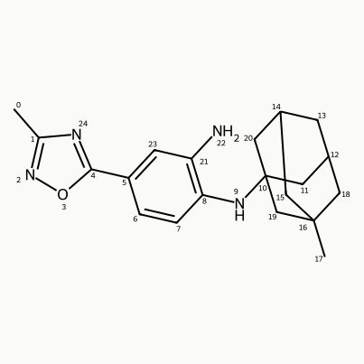 Cc1noc(-c2ccc(NC34CC5CC(CC(C)(C5)C3)C4)c(N)c2)n1